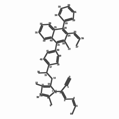 C#C/C(=C\C=C/C)n1c(C)nc(C)c1CC(C)c1ccc(-c2c(C)c(/C=C\C)c(-c3ccccc3)c3ccccc23)cc1